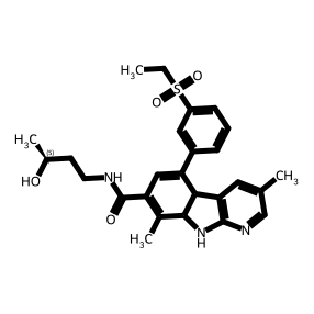 CCS(=O)(=O)c1cccc(C2=CC(C(=O)NCC[C@H](C)O)=C(C)C3Nc4ncc(C)cc4C23)c1